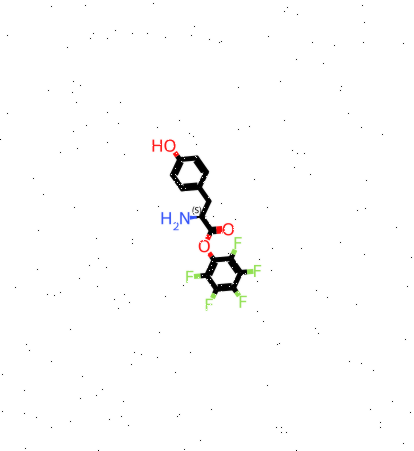 N[C@@H](Cc1ccc(O)cc1)C(=O)Oc1c(F)c(F)c(F)c(F)c1F